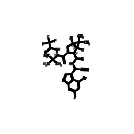 CC(C)(C)[C@H](NC(=O)C(F)(F)F)C(=O)N1C[C@H]2[C@@H]([C@H]1C(=O)NC(C#N)c1cnn3cc(F)cc(Br)c13)C2(C)C